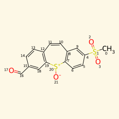 CS(=O)(=O)c1ccc2c(c1)C=Cc1ccc(C=O)cc1[S+]2[O-]